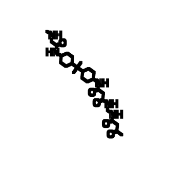 CNCC(=O)NC1CCC(C(C)(C)C2CCC(NC(=O)CC(=O)NCNC(=O)CC(C)=O)CC2)CC1